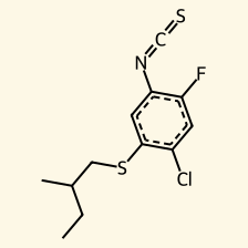 CCC(C)CSc1cc(N=C=S)c(F)cc1Cl